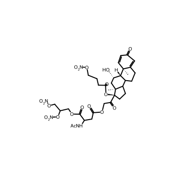 CC(=O)NC(CC(=O)OCC(=O)[C@@]1(OC(=O)CCCO[N+](=O)[O-])CCC2C3CCC4=CC(=O)C=C[C@]4(C)[C@H]3[C@@H](O)C[C@@]21C)C(=O)OCC(CO[N+](=O)[O-])O[N+](=O)[O-]